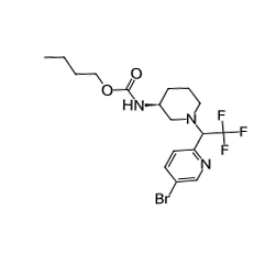 CCCCOC(=O)N[C@H]1CCCN(C(c2ccc(Br)cn2)C(F)(F)F)C1